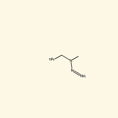 CCCCN(C)N=N